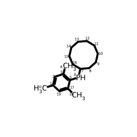 Cc1cc(C)c(PC2CCCCCCCCC2)c(C)c1